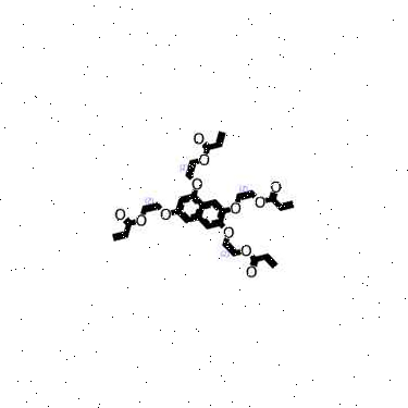 C=CC(=O)O/C=C\Oc1cc(O/C=C\OC(=O)C=C)c2cc(O/C=C\OC(=O)C=C)c(O/C=C\OC(=O)C=C)cc2c1